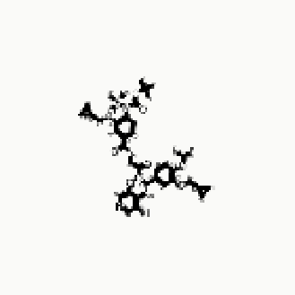 CC(C)(C)OC(=O)N(c1ccc(C(=O)SCC(=O)O[C@@H](Cc2c(Cl)cncc2Cl)c2ccc(OC(F)F)c(OCC3CC3)c2)cc1OCC1CC1)S(C)(=O)=O